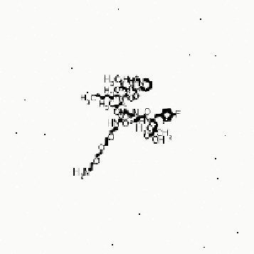 CCCCCCN(C(=O)[C@@H](NC(=O)[C@H]1CCCCN1C)[C@@H](C)CC)[C@H](C[C@@H](OC(=O)NCCOCCOCCOCCN)c1nc(C(=O)N[C@@H](Cc2ccc(F)cc2)CC(C)(C)C(=O)O)cs1)C(C)C